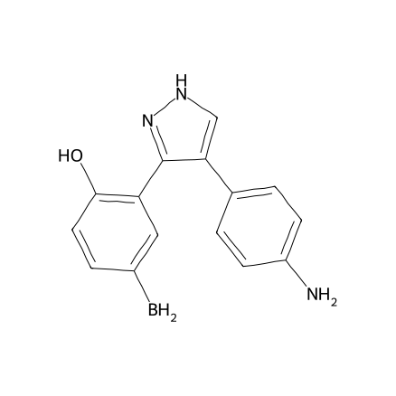 Bc1ccc(O)c(-c2n[nH]cc2-c2ccc(N)cc2)c1